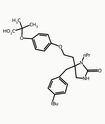 CCCN1C(=O)NCC1(CCOc1ccc(OC(C)(C)C(=O)O)cc1)Cc1ccc(C(C)(C)C)cc1